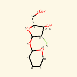 OC[C@H]1OC(OC2CCCCO2)[C@@H](F)[C@@H]1O